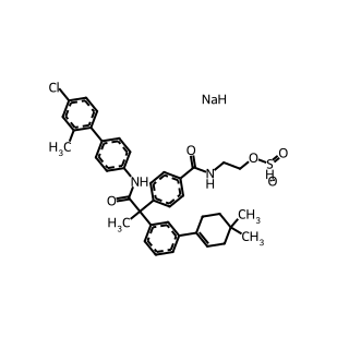 Cc1cc(Cl)ccc1-c1ccc(NC(=O)C(C)(c2ccc(C(=O)NCCO[SH](=O)=O)cc2)c2cccc(C3=CCC(C)(C)CC3)c2)cc1.[NaH]